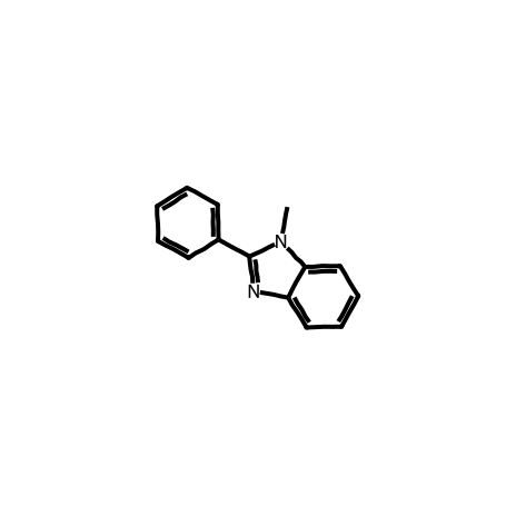 Cn1c(-c2ccccc2)nc2ccccc21